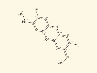 CCCN=c1cc2oc3cc(NCCC)c(C)cc3nc-2cc1C